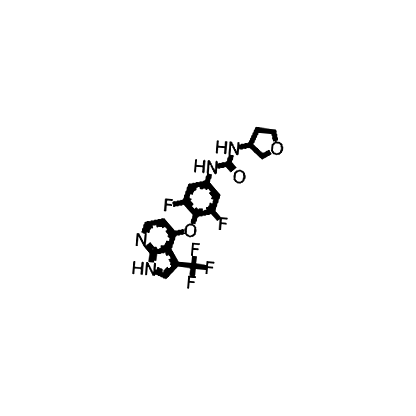 O=C(Nc1cc(F)c(Oc2ccnc3[nH]cc(C(F)(F)F)c23)c(F)c1)NC1CCOC1